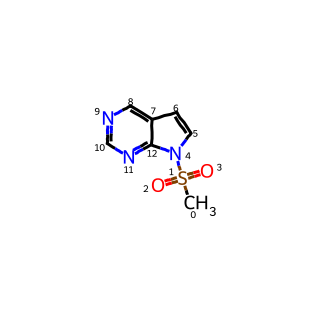 CS(=O)(=O)n1ccc2cncnc21